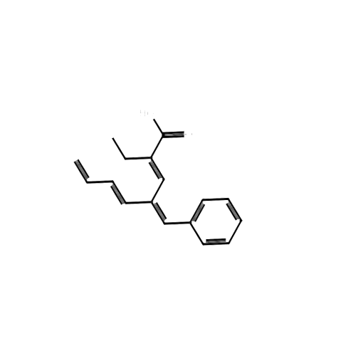 C=CC=CC(=Cc1ccccc1)C=C(CC)C(=O)O